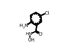 Nc1ccc(Cl)cc1C(=O)NO